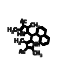 CC(=O)c1c(C)[nH]c(C(c2[nH]c(C)c(C(C)=O)c2C)c2cccc3ccccc23)c1C